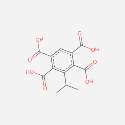 CC(C)c1c(C(=O)O)c(C(=O)O)cc(C(=O)O)c1C(=O)O